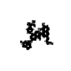 CCc1c(F)ccc2cc(OCOC)cc(-c3ncc4c(N5CCC(C(=O)N(C)C(C)=O)C5)nc(OC[C@@]56CCCN5C[C@H](F)C6)nc4c3F)c12